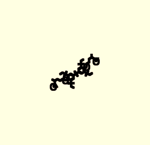 CCC(C)(C)c1cc(C(C)(C)c2cc(C(C)(C)CC)c(OCCCC(C)C3CO3)c(C(C)(C)CC)c2)cc(C(C)(C)CC)c1OCCCC(C)C1CO1